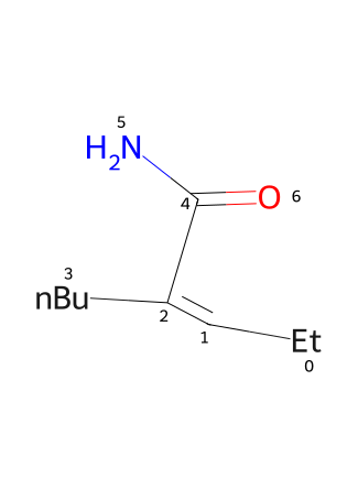 CCC=C(CCCC)C(N)=O